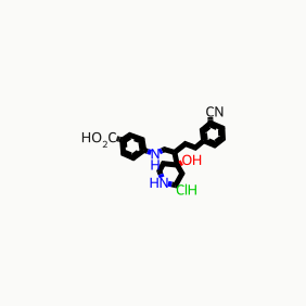 Cl.N#Cc1cccc(CCC(CNc2ccc(C(=O)O)cc2)C2(O)CCNCC2)c1